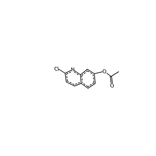 CC(=O)Oc1ccc2ccc(Cl)nc2c1